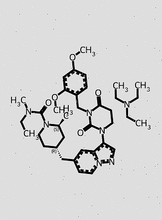 CCN(C)C(=O)N1CC[C@@H](Cc2ccn3ncc(N4CCC(=O)N(Cc5ccc(OC)cc5OC)C4=O)c3c2)C[C@@H]1C.CCN(CC)CC